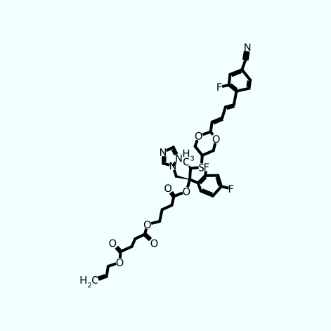 C=CCOC(=O)CCC(=O)OCCCC(=O)O[C@@](Cn1cncn1)(c1ccc(F)cc1F)[C@@H](C)SC1COC(C=CC=Cc2ccc(C#N)cc2F)OC1